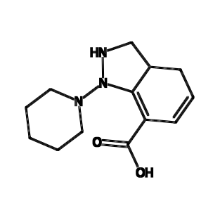 O=C(O)C1=C2C(CC=C1)CNN2N1CCCCC1